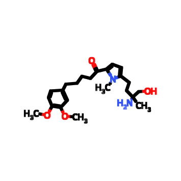 COc1ccc(CCCCC(=O)c2ccc(CCC(C)(N)CO)n2C)cc1OC